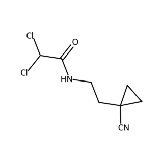 N#CC1(CCNC(=O)C(Cl)Cl)CC1